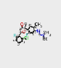 CCN(C)C=Nc1cc(F)c(C2(OCc3c(F)cccc3Cl)COC2)cc1C